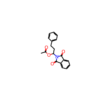 CC(=O)OC(CCc1ccccc1)N1C(=O)c2ccccc2C1=O